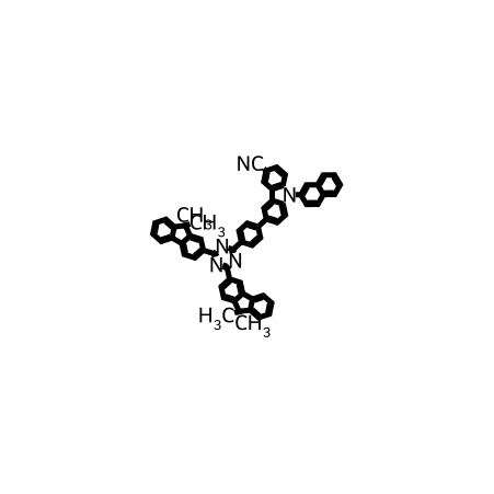 CC1(C)c2ccccc2-c2cc(-c3nc(-c4ccc(-c5ccc6c(c5)c5cc(C#N)ccc5n6-c5ccc6ccccc6c5)cc4)nc(-c4ccc5c(c4)C(C)(C)c4ccccc4-5)n3)ccc21